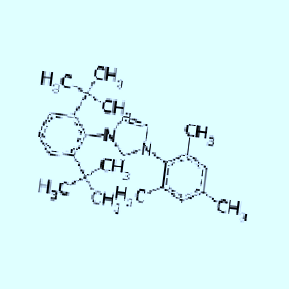 Cc1cc(C)c(N2[C]N(c3c(C(C)(C)C)cccc3C(C)(C)C)C=C2)c(C)c1